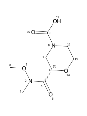 CON(C)C(=O)[C@@H]1CN(C(=O)O)CCO1